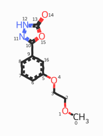 COCCOc1cccc(-c2n[nH]c(=O)o2)c1